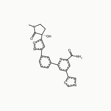 CN1CC[C@@](O)(c2cc(-c3cccc(-c4cc(-c5cncs5)cc(C(N)=O)n4)c3)no2)C1=O